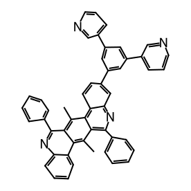 Cc1c2c(-c3ccccc3)nc3cc(-c4cc(-c5cccnc5)cc(-c5cccnc5)c4)ccc3c2c(C)c2c(-c3ccccc3)nc3ccccc3c12